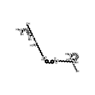 C[Si](C)(O[Si](C)(C)O[Si](C)(C)C(CSSS)SSS)O[Si](C)(C)C(CSC(CCCCCCCCCOC(=O)Nc1ccc(Cc2ccc(NC(=O)OCCCCCCCCCC(CSSCCSSC(CCCCCCCCO)C(SSS)[Si](C)(C)O[Si](C)(C)O[Si](C)(C)O[Si](C)(C)C(CSS)SSS)SSS)cc2)cc1)CSSSSSSS)SS